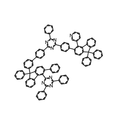 c1ccc(-c2nc(-c3ccc(-c4cccc(C5(c6ccccc6)c6ccccc6-c6c5ccc(-c5ccccc5)c6-c5nc(-c6ccccc6)nc(-c6ccccc6)n5)c4)cc3)nc(-c3ccc(-c4ccc5c(c4-c4cccnc4)-c4ccccc4C5(c4ccccc4)c4ccccc4)cc3)n2)cc1